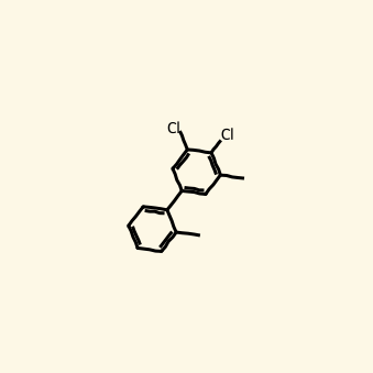 Cc1ccccc1-c1cc(C)c(Cl)c(Cl)c1